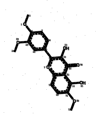 COc1ccc(-c2oc3ccc(OC)c(O)c3c(=O)c2O)cc1OC